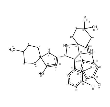 CC1CCC(NC(=O)[C@@H]2NC3(CCC(C)(C)CC3)[C@@]3(C(=O)Nc4cc(Cl)ccc43)[C@H]2c2ccnc(Cl)c2F)(C(=O)O)OC1